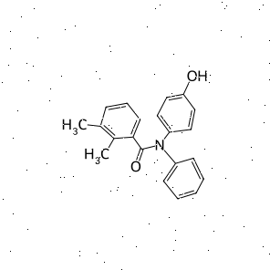 Cc1cccc(C(=O)N(c2ccccc2)c2ccc(O)cc2)c1C